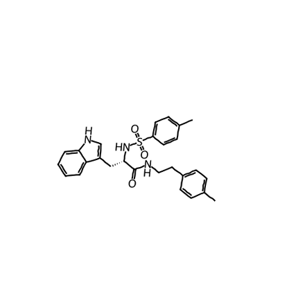 Cc1ccc(CCNC(=O)[C@H](Cc2c[nH]c3ccccc23)NS(=O)(=O)c2ccc(C)cc2)cc1